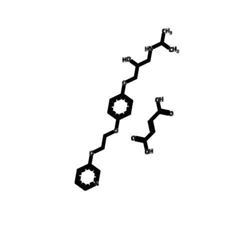 CC(C)NCC(O)COc1ccc(OCCOc2cccnc2)cc1.O=C(O)C=CC(=O)O